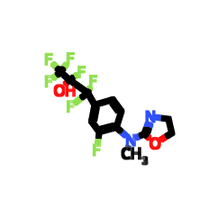 CN(C1=NCCO1)c1ccc(C(F)(F)C(O)(F)C(F)(F)F)cc1F